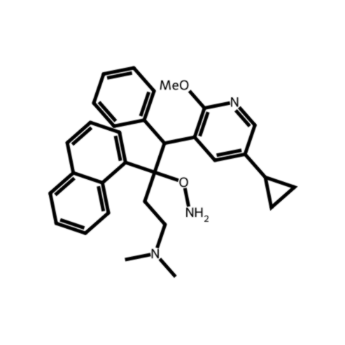 COc1ncc(C2CC2)cc1C(c1ccccc1)C(CCN(C)C)(ON)c1cccc2ccccc12